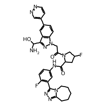 NC(O)c1nn(CC(=O)N2CC(F)CC2C(=O)Nc2ccc(F)c(-c3nnc4n3CCCCC4)c2)c2ccc(-c3ccnnc3)cc12